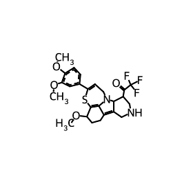 COc1ccc(C2=CCN3C4=C(S2)C(OC)CCC4=C2CNCC(C(=O)C(F)(F)F)C23)cc1OC